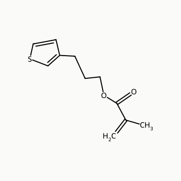 C=C(C)C(=O)OCCCc1ccsc1